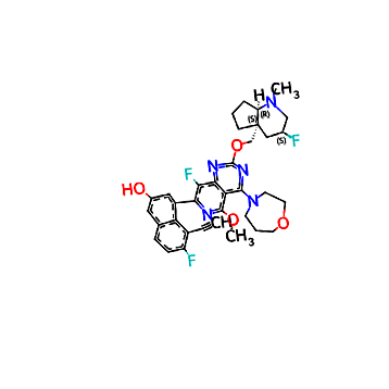 C#Cc1c(F)ccc2cc(O)cc(-c3nc(OC)c4c(N5CCCOCC5)nc(OC[C@]56CCC[C@H]5N(C)C[C@@H](F)C6)nc4c3F)c12